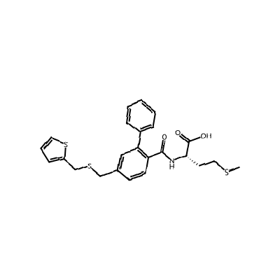 CSCC[C@H](NC(=O)c1ccc(CSCc2cccs2)cc1-c1ccccc1)C(=O)O